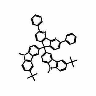 Cn1c2ccc(C(C)(C)C)cc2c2cc(C3(c4ccc5c(c4)c4cc(C(C)(C)C)ccc4n5C)c4ccc(-c5ccccc5)nc4-c4nc(-c5ccccc5)ccc43)ccc21